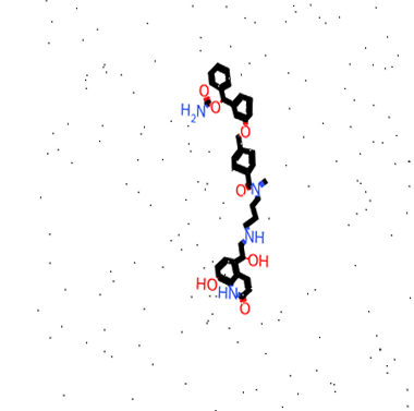 CN(CCCCNC[C@H](O)c1ccc(O)c2[nH]c(=O)ccc12)C(=O)c1ccc(COc2cccc([C@@H](OC(N)=O)c3ccccc3)c2)cc1